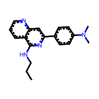 [CH2]CCNc1nc(-c2ccc(N(C)C)cc2)cc2ncccc12